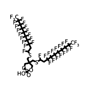 O=P1(O)OCC(CSC(F)CC(F)(F)C(F)(F)C(F)(F)C(F)(F)C(F)(F)C(F)(F)C(F)(F)C(F)(F)F)(CSC(F)CC(F)(F)C(F)(F)C(F)(F)C(F)(F)C(F)(F)C(F)(F)C(F)(F)C(F)(F)F)CO1